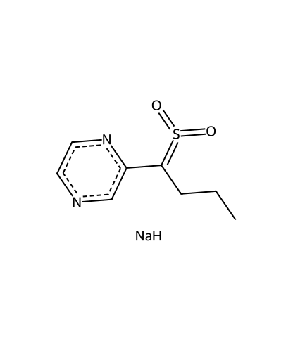 CCCC(c1cnccn1)=S(=O)=O.[NaH]